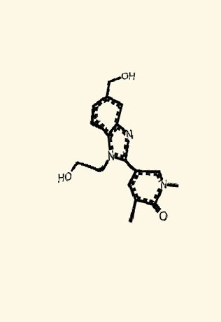 Cc1cc(-c2nc3cc(CO)ccc3n2CCO)cn(C)c1=O